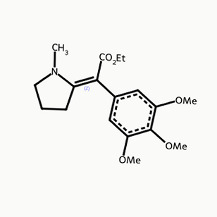 CCOC(=O)/C(=C1/CCCN1C)c1cc(OC)c(OC)c(OC)c1